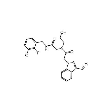 O=Cc1nn(CC(=O)N(CCO)CC(=O)NCc2cccc(Cl)c2F)c2ccccc12